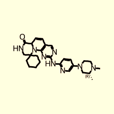 C[C@@H]1CN(c2ccc(Nc3ncc4c(n3)N3C(C=C4)C(=O)NCC34CCCCC4)nc2)CCN1C